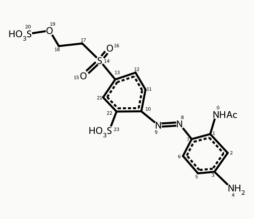 CC(=O)Nc1cc(N)ccc1N=Nc1ccc(S(=O)(=O)CCOS(=O)(=O)O)cc1S(=O)(=O)O